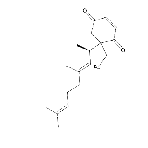 CC(=O)CC1([C@H](C)/C=C(\C)CCC=C(C)C)CC(=O)C=CC1=O